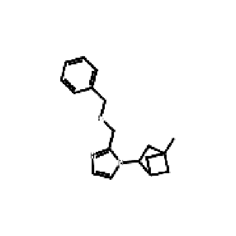 CC12CC(C1)C(n1ccnc1COCc1ccccc1)C2